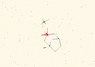 COC1CC2CC[C@H](C1)N2C(=O)OC(C)(C)C